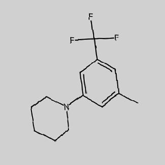 Cc1cc(N2CCCCC2)cc(C(F)(F)F)c1